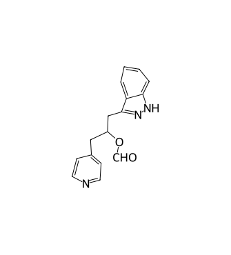 O=COC(Cc1ccncc1)Cc1n[nH]c2ccccc12